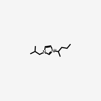 CCCC(C)[n+]1ccn(CC(C)C)c1